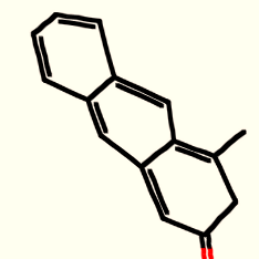 CC1=c2cc3ccccc3cc2=CC(=O)C1